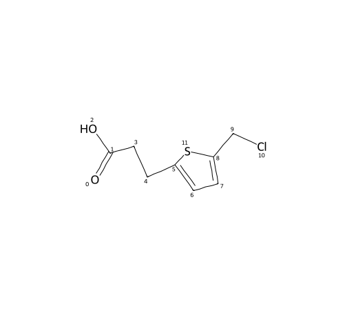 O=C(O)CCc1ccc(CCl)s1